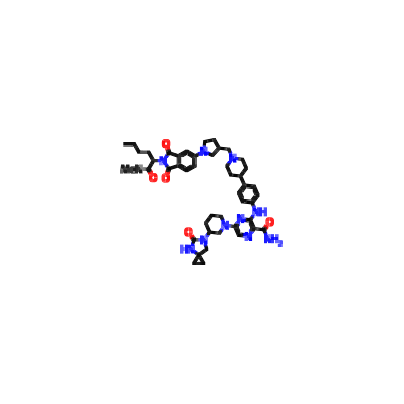 C=CCCC(C(=O)NC)N1C(=O)c2ccc(N3CCC(CN4CCC(c5ccc(Nc6nc(N7CCCC(N8CC9(CC9)NC8=O)C7)cnc6C(N)=O)cc5)CC4)C3)cc2C1=O